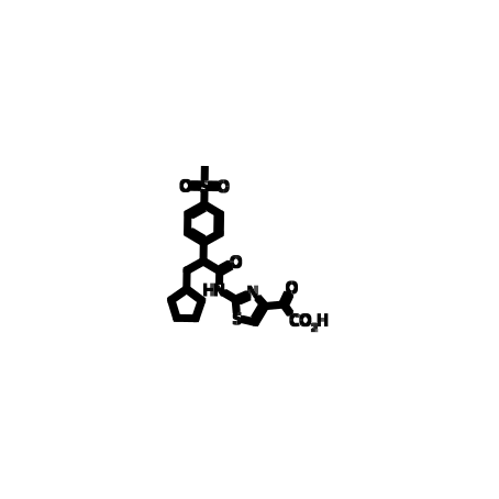 CS(=O)(=O)c1ccc(C(CC2CCCC2)C(=O)Nc2nc(C(=O)C(=O)O)cs2)cc1